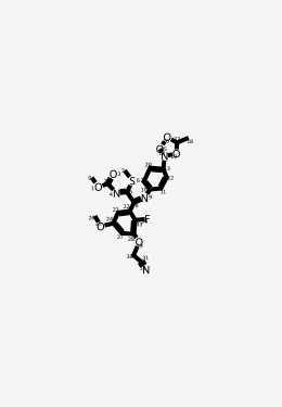 COC(=O)N=C(SC)C(=Nc1ccc(N2OOC(C)O2)cc1)c1cc(OC)cc(OCC#N)c1F